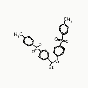 CCC(Oc1ccc(S(=O)(=O)c2ccc(C)cc2)cc1)c1ccc(S(=O)(=O)c2ccc(C)cc2)cc1